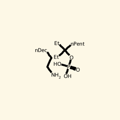 CCCCCC(CC)(CC)OP(=O)(O)O.CCCCCCCCCCCCN